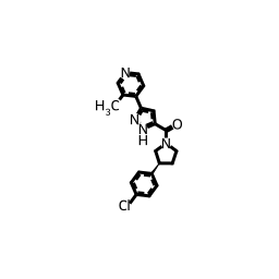 Cc1cnccc1-c1cc(C(=O)N2CC[C@@H](c3ccc(Cl)cc3)C2)[nH]n1